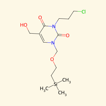 C[Si](C)(C)CCOCn1cc(CO)c(=O)n(CCCCl)c1=O